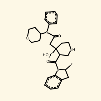 O=C(C1CNCCC1(CC(=O)N(c1ccccc1)C1CCOCC1)C(=O)O)N1c2ccccc2CC1F